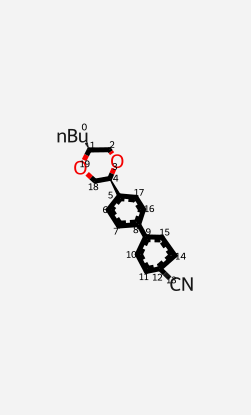 CCCC[C@@H]1CO[C@@H](c2ccc(-c3ccc(C#N)cc3)cc2)CO1